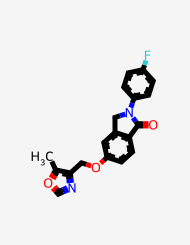 Cc1ocnc1COc1ccc2c(c1)CN(c1ccc(F)cc1)C2=O